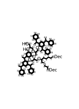 CCCCCCCCCCCCCCC(CSCCCCCCCCCCCC)OCC(COc1c(C(C)c2ccccc2)cc(C(C)c2ccccc2)cc1C(C)c1ccccc1)OCC(COc1c(C(C)c2ccccc2)cc(C(C)c2ccccc2)cc1C(C)c1ccccc1)OCC(O)CO